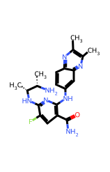 Cc1nc2ccc(Nc3nc(N[C@H](C)[C@H](C)N)c(F)cc3C(N)=O)cc2nc1C